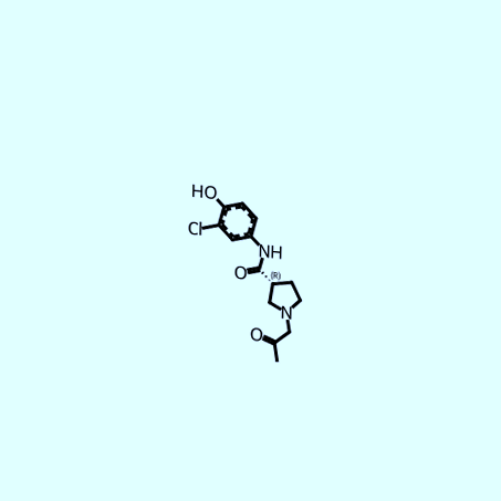 CC(=O)CN1CC[C@@H](C(=O)Nc2ccc(O)c(Cl)c2)C1